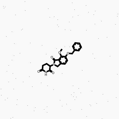 COc1c(OCc2ccccc2)ccc2c1C(=O)N(C1CCC(=O)NC1=O)C2